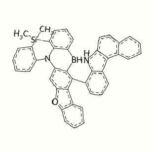 C[Si]1(C)c2ccccc2N2c3cc4oc5ccccc5c4c(-c4cccc5c4[nH]c4ccc6ccccc6c45)c3Bc3cccc1c32